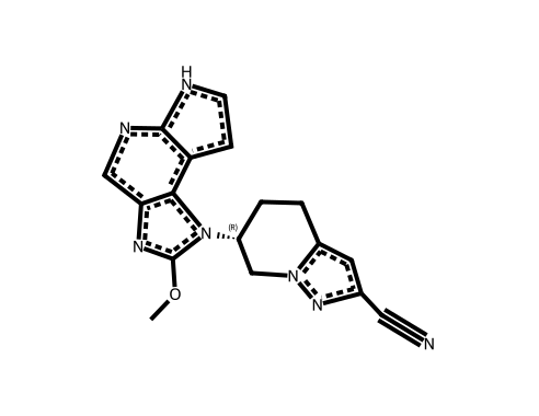 COc1nc2cnc3[nH]ccc3c2n1[C@@H]1CCc2cc(C#N)nn2C1